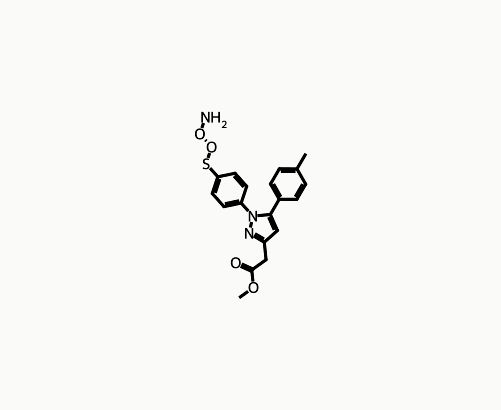 COC(=O)Cc1cc(-c2ccc(C)cc2)n(-c2ccc(SOON)cc2)n1